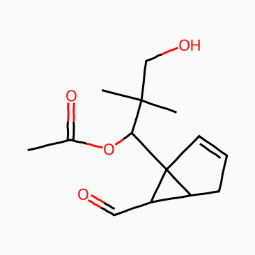 CC(=O)OC(C(C)(C)CO)C12C=CCC1C2C=O